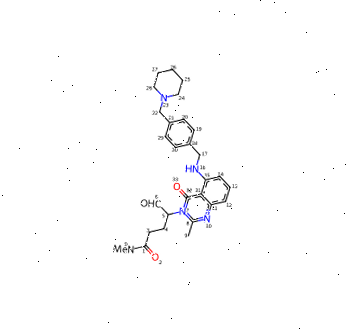 CNC(=O)CCC(C=O)n1c(C)nc2cccc(NCc3ccc(CN4CCCCC4)cc3)c2c1=O